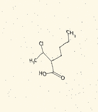 CCCCC(C(=O)O)C(C)Cl